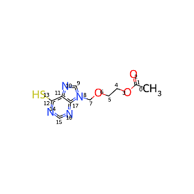 CC(=O)OCCOCn1cnc2c(S)ncnc21